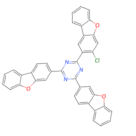 Clc1cc2oc3ccccc3c2cc1-c1nc(-c2ccc3c(c2)oc2ccccc23)nc(-c2ccc3c(c2)oc2ccccc23)n1